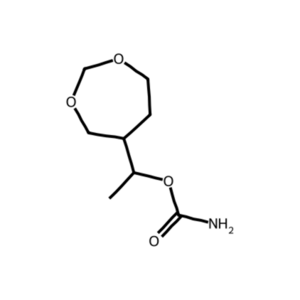 CC(OC(N)=O)C1CCOCOC1